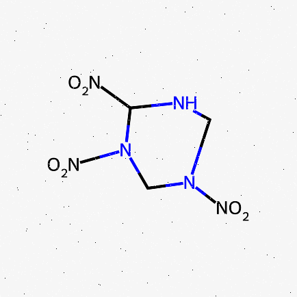 O=[N+]([O-])C1NCN([N+](=O)[O-])CN1[N+](=O)[O-]